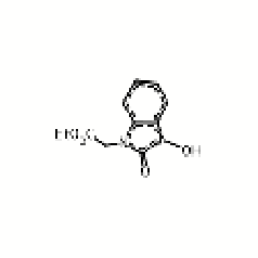 CCOC(=O)Cn1c(=O)n(O)c2ccccc21